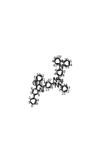 c1ccc(-c2ccc3c(c2)nc(-c2ccc(-c4nc(-c5ccccc5)nc(-c5ccc(-n6c7ccccc7c7ccccc76)cc5)n4)cc2)c2c4ccccc4oc32)cc1